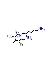 C=CC(C(C)C)C(C)C(/C(CC)=N/CC(N)CCCCN)C(C)(C)C